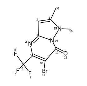 Cc1cc2nc(C(F)(F)F)c(Br)c(=O)n2n1C